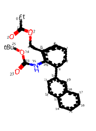 CCC(=O)OCc1cccc(-c2ccc3ccccc3c2)c1NC(=O)OC(C)(C)C